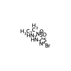 CC(C)NC1=NS(=O)(=O)c2sc(Br)nc2N1